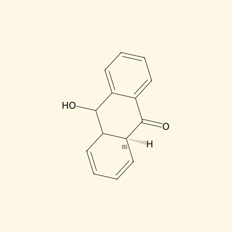 O=C1c2ccccc2C(O)C2C=CC=C[C@H]12